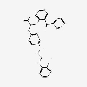 COC(=O)C(Cc1ccc(OCCNc2ccccc2Cl)cc1)Nc1ccccc1C(=O)c1ccccc1